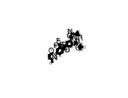 Cc1ccc(=O)n(-c2ccc(S(=O)(=O)[C@@H]3C[C@@H](C(=O)NC4(C#N)CC4)N(C(=O)OC(C)(C)C)C3)c(C(F)(F)F)c2)n1